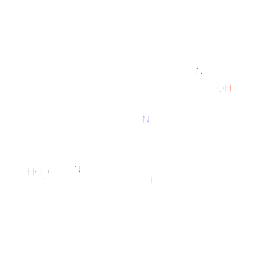 O=C(O)N1CCC(F)(c2nc(/C=N\O)cs2)CC1